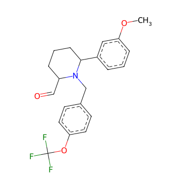 COc1cccc(C2CCCC(C=O)N2Cc2ccc(OC(F)(F)F)cc2)c1